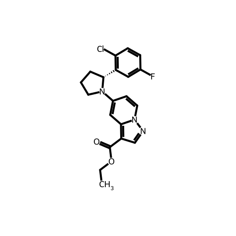 CCOC(=O)c1cnn2ccc(N3CCC[C@@H]3c3cc(F)ccc3Cl)cc12